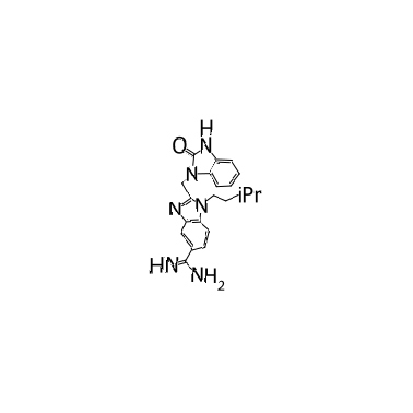 CC(C)CCn1c(Cn2c(=O)[nH]c3ccccc32)nc2cc(C(=N)N)ccc21